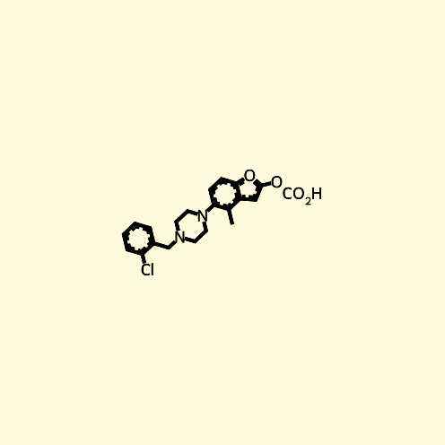 Cc1c(N2CCN(Cc3ccccc3Cl)CC2)ccc2oc(OC(=O)O)cc12